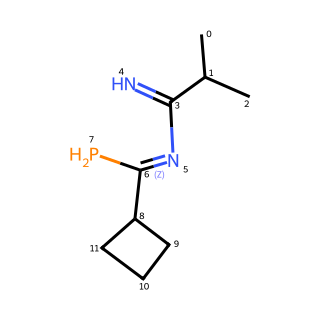 CC(C)C(=N)/N=C(\P)C1CCC1